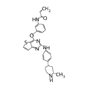 C=CC(=O)Nc1cccc(Oc2nc(Nc3ccc(C4CCNC(C)C4)cc3)nc3ccsc23)c1